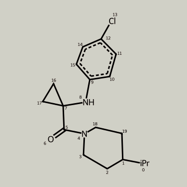 CC(C)C1CCN(C(=O)C2(Nc3ccc(Cl)cc3)CC2)CC1